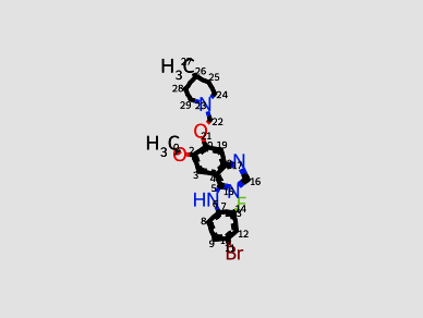 COc1cc2c(Nc3ccc(Br)cc3F)ncnc2cc1OCN1CCC(C)CC1